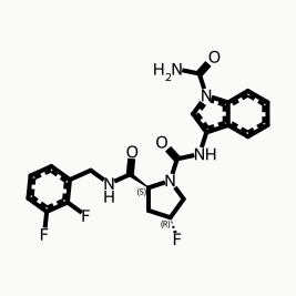 NC(=O)n1cc(NC(=O)N2C[C@H](F)C[C@H]2C(=O)NCc2cccc(F)c2F)c2ccccc21